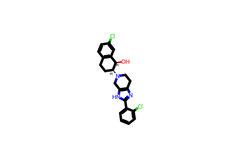 O[C@@H]1c2cc(Cl)ccc2CC[C@H]1N1CCc2nc(-c3ccccc3Cl)[nH]c2C1